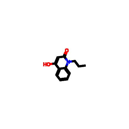 CCCn1c(=O)cc(O)c2ccccc21